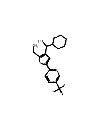 CCc1oc(-c2ccc(C(F)(F)F)cc2)cc1C(O)C1CCCCC1